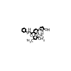 CC1CN(c2nc(N3C=CC(O)N3)ccc2C(=O)NSc2ccccc2)C(C)(C)C1